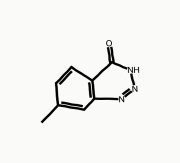 Cc1ccc2c(=O)[nH]nnc2c1